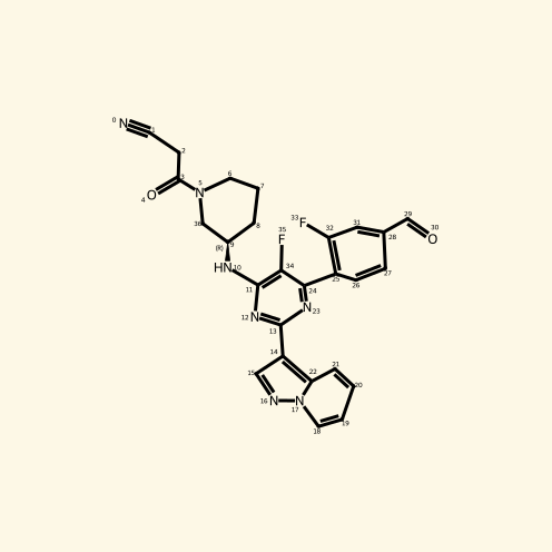 N#CCC(=O)N1CCC[C@@H](Nc2nc(-c3cnn4ccccc34)nc(-c3ccc(C=O)cc3F)c2F)C1